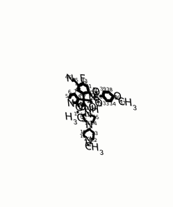 CCOc1ncccc1C1(C(=O)NN2CCN(C3CCN(C)CC3)CC2)C(=O)N(S(=O)(=O)c2ccc(OC)cc2)c2cc(F)c(C#N)cc21